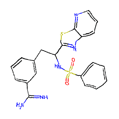 N=C(N)c1cccc(CC(NS(=O)(=O)c2ccccc2)c2nc3cccnc3s2)c1